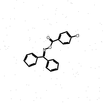 O=C(ON=C(c1ccccc1)c1ccccc1)c1ccc(Cl)cc1